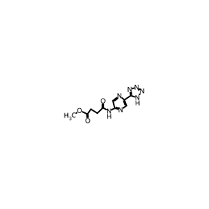 COC(=O)CCC(=O)Nc1cnc(-c2nnn[nH]2)cn1